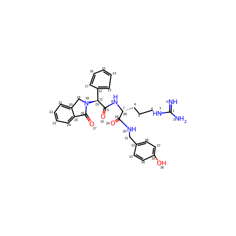 N=C(N)NCCC[C@@H](NC(=O)[C@H](c1ccccc1)N1Cc2ccccc2C1=O)C(=O)NCc1ccc(O)cc1